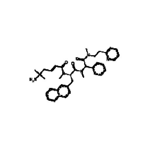 CN(CCc1ccccn1)C(=O)C(c1ccccc1)N(C)C(=O)[C@@H](Cc1ccc2ccccc2c1)N(C)C(=O)/C=C/CC(C)(C)N